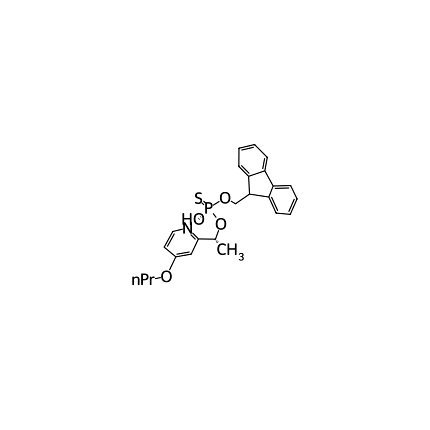 CCCOc1ccnc([C@@H](C)O[P@@](O)(=S)OCC2c3ccccc3-c3ccccc32)c1